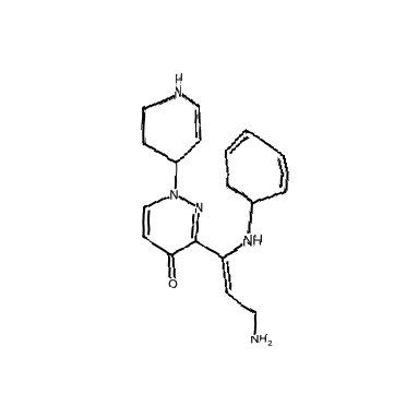 NC/C=C(\NC1C=CC=CC1)c1nn(C2C=CNCC2)ccc1=O